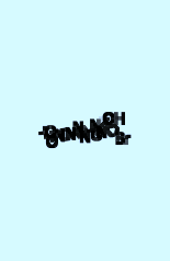 CC(C)(C)OC(=O)N1CCN(c2cnc(-c3nc([C@@](C)(O)c4ccc(Br)cc4)no3)cn2)CC1